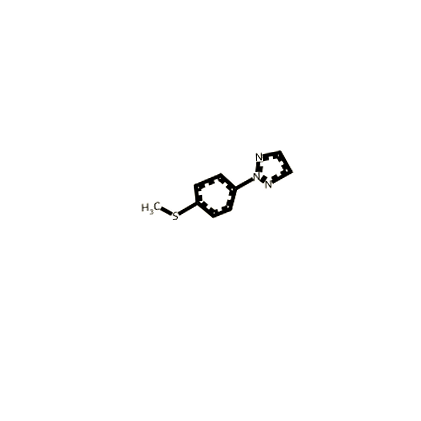 CSc1ccc(-n2nccn2)cc1